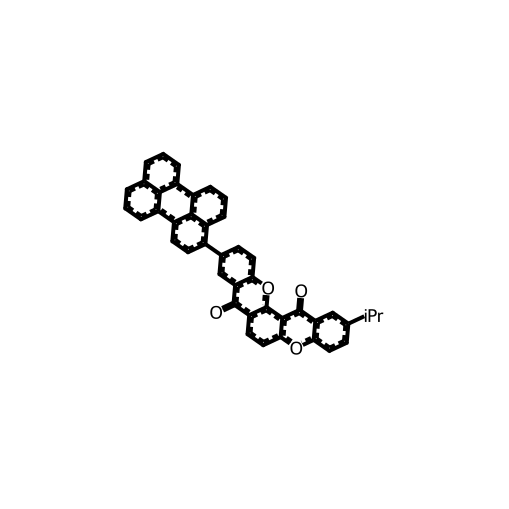 CC(C)c1ccc2oc3ccc4c(=O)c5cc(-c6ccc7c8cccc9cccc(c%10cccc6c%107)c98)ccc5oc4c3c(=O)c2c1